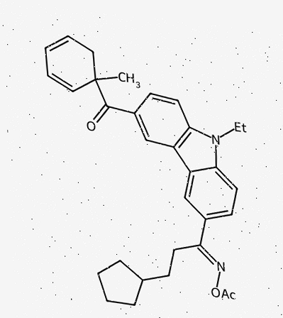 CCn1c2ccc(C(=O)C3(C)C=CC=CC3)cc2c2cc(C(CCC3CCCC3)=NOC(C)=O)ccc21